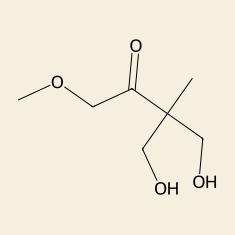 COCC(=O)C(C)(CO)CO